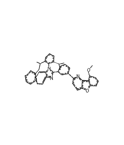 COc1cccc2oc3ccc(-c4cccc(-c5nc6c(n5-c5c(C(C)C)cccc5C(C)Cc5ccccn5)=CCCC=6)c4)nc3c12